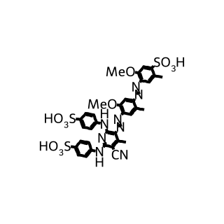 COc1cc(S(=O)(=O)O)c(C)cc1/N=N/c1cc(OC)c(/N=N/c2c(Nc3ccc(S(=O)(=O)O)cc3)nc(Nc3ccc(S(=O)(=O)O)cc3)c(C#N)c2C)cc1C